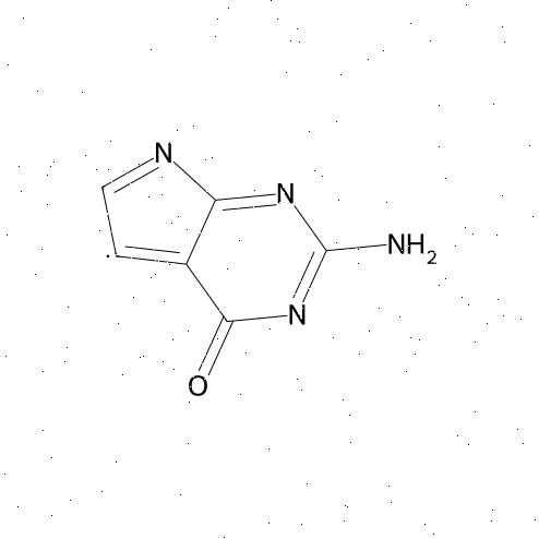 NC1=NC(=O)C2=[C]C=NC2=N1